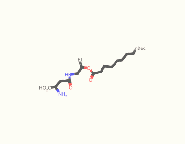 CCCCCCCCCCCCCCCCCC(=O)OC(CC)CNC(=O)CC(N)C(=O)O